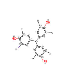 Cc1cc(C(c2cc(C)c(O)c(C)c2)c2cc(C)c(O)c(I)c2)cc(C)c1O